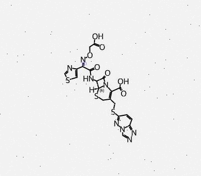 O=C(O)CO/N=C(\C(=O)NC1C(=O)N2C(C(=O)O)=C(CSc3ccc4nncn4n3)CS[C@H]12)c1cscn1